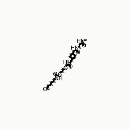 CNC(=O)CCNC(=O)Cc1ccc(CNC(=O)COCCCOC(=O)NCCCCCC=O)cc1